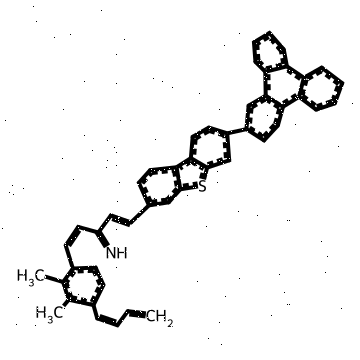 C=C/C=C\c1ccc(/C=C\C(=N)/C=C/c2ccc3c(c2)sc2cc(-c4ccc5c6ccccc6c6ccccc6c5c4)ccc23)c(C)c1C